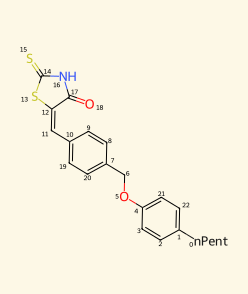 CCCCCc1ccc(OCc2ccc(C=C3SC(=S)NC3=O)cc2)cc1